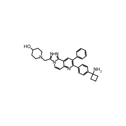 NC1(c2ccc(-c3nc4ccn5c(CN6CCC(O)CC6)nnc5c4cc3-c3ccccc3)cc2)CCC1